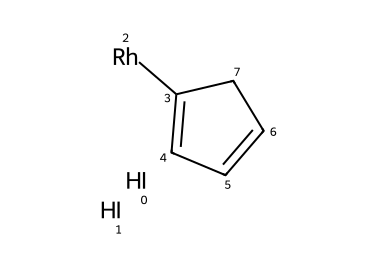 I.I.[Rh][C]1=CC=CC1